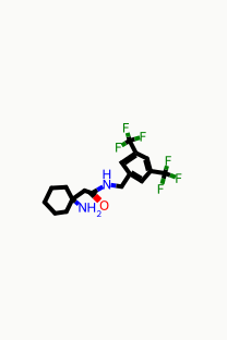 NC1(CC(=O)NCc2cc(C(F)(F)F)cc(C(F)(F)F)c2)CCCCC1